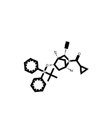 C#C[C@H]1[C@H]2C[C@H](C[C@@H]2O[Si](c2ccccc2)(c2ccccc2)C(C)(C)C)N1C(=O)C1CC1